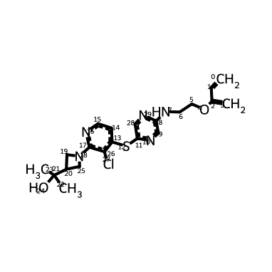 C=CC(=C)OCCNc1cnc(Sc2ccnc(N3CC(C(C)(C)O)C3)c2Cl)cn1